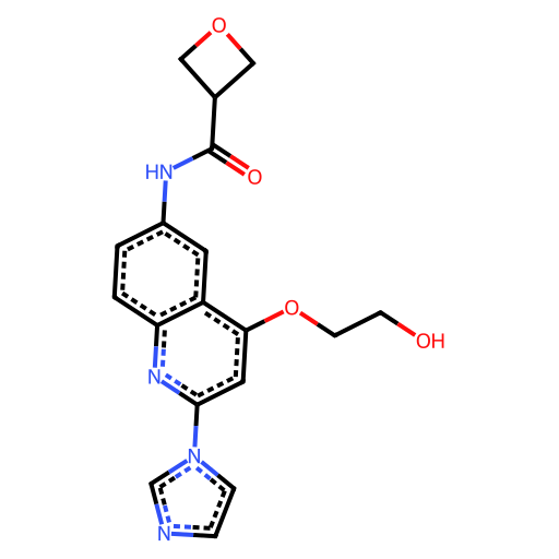 O=C(Nc1ccc2nc(-n3ccnc3)cc(OCCO)c2c1)C1COC1